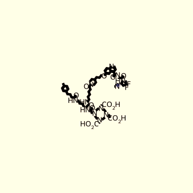 C/N=C/[C@H]1CC(F)(F)CN1C(=O)CNC(=O)c1ccnc2ccc(OCCCC3CCN(C(=O)CCCCCNC(=O)[C@H](CCCCNC(=O)CCCc4ccc(C)cc4)NC(=O)CN4CCN(CC(=O)O)CCN(CC(=O)O)CCN(CC(=O)O)CC4)CC3)cc12